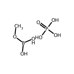 COB(O)O.O=P(O)(O)O